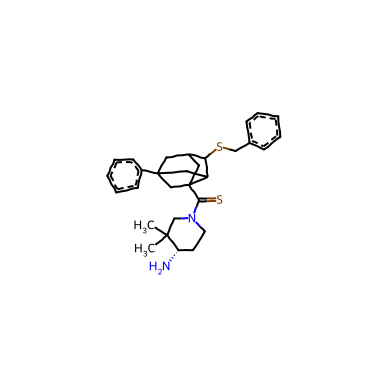 CC1(C)CN(C(=S)C23CC4CC(c5ccccc5)(CC2C4SCc2ccccc2)C3)CC[C@@H]1N